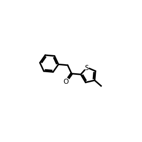 Cc1csc(C(=O)Cc2ccccc2)c1